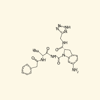 CCC(C)C(NC(=O)Cc1ccccc1)C(=O)NCC(=O)N1c2cc(N)ccc2C[C@H]1C(=O)NCc1nn[nH]n1